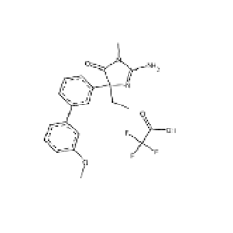 CCC1(c2cccc(-c3cccc(OC)c3)c2)N=C(N)N(C)C1=O.O=C(O)C(F)(F)F